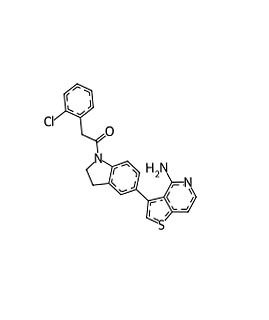 Nc1nccc2scc(-c3ccc4c(c3)CCN4C(=O)Cc3ccccc3Cl)c12